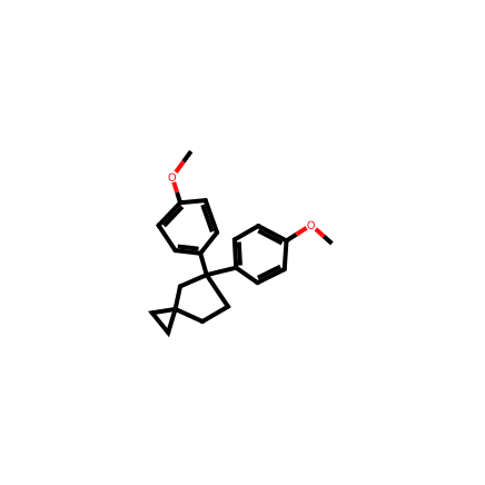 COc1ccc(C2(c3ccc(OC)cc3)CCC3(CC3)C2)cc1